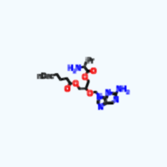 CCCCCCCCCCCCCC(=O)OCC(COC(=O)[C@@H](N)C(C)C)OCn1cnc2cnc(N)nc21